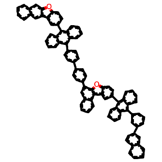 c1cc(-c2ccc3ccccc3c2)cc(-c2c3ccccc3c(-c3ccc4oc5c(-c6ccc(-c7ccc(-c8c9ccccc9c(-c9ccc%10oc%11cc%12ccccc%12cc%11c%10c9)c9ccccc89)cc7)cc6)cc6ccccc6c5c4c3)c3ccccc23)c1